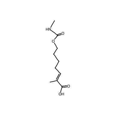 CNC(=O)OCCCC/C=C(\C)C(=O)O